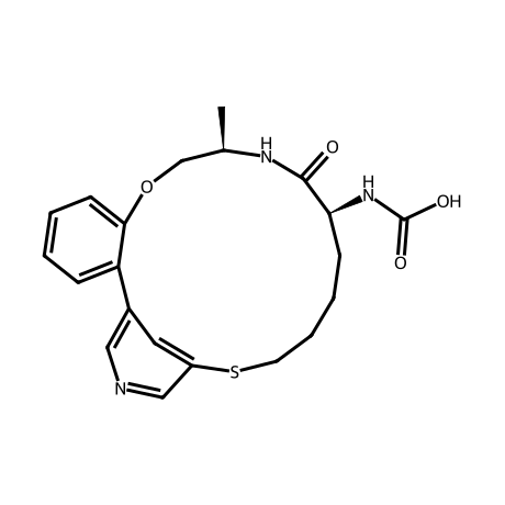 C[C@@H]1COc2ccccc2-c2cncc(c2)SCCCC[C@H](NC(=O)O)C(=O)N1